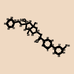 C[C@@]12CN(CC(=O)c3ccc(-c4cccc(F)c4)cc3)C[C@]1(C)C[C@@](O)(CCc1ccccc1)C2